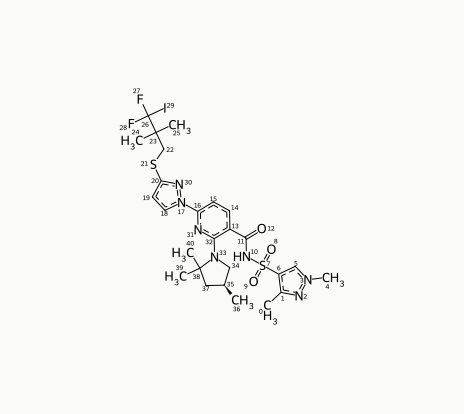 Cc1nn(C)cc1S(=O)(=O)NC(=O)c1ccc(-n2ccc(SCC(C)(C)C(F)(F)I)n2)nc1N1C[C@@H](C)CC1(C)C